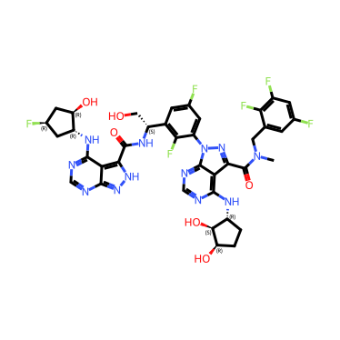 CN(Cc1cc(F)cc(F)c1F)C(=O)c1nn(-c2cc(F)cc([C@@H](CO)NC(=O)c3[nH]nc4ncnc(N[C@@H]5C[C@@H](F)C[C@H]5O)c34)c2F)c2ncnc(N[C@@H]3CC[C@@H](O)[C@H]3O)c12